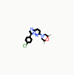 C[C@@H]1CN(c2ccc3ncc(-c4ccc(Cl)cc4)n3n2)C[C@H](C)O1